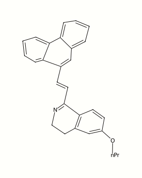 CCCOc1ccc2c(c1)CCN=C2C=Cc1cc2ccccc2c2ccccc12